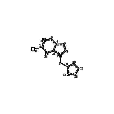 Clc1ncc2ccn(Cc3cccs3)c2n1